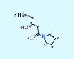 CCCCCCCC(O)CC(=O)N1CCCC1